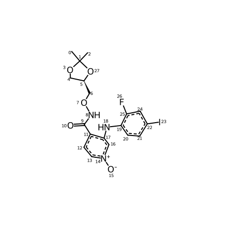 CC1(C)OC[C@H](CONC(=O)c2cc[n+]([O-])cc2Nc2ccc(I)cc2F)O1